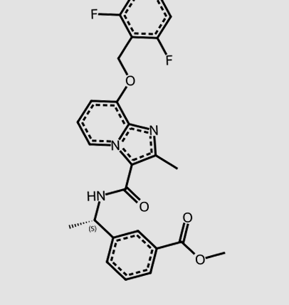 COC(=O)c1cccc([C@H](C)NC(=O)c2c(C)nc3c(OCc4c(F)cccc4F)cccn23)c1